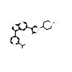 COc1nn(C2CCN(C)CC2)cc1-c1cnc2[nH]cc(-c3ccnc(C(F)F)c3)c2c1